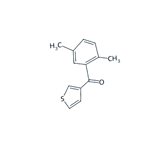 Cc1ccc(C)c(C(=O)c2ccsc2)c1